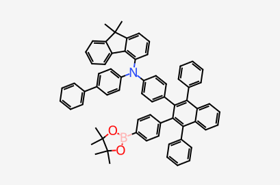 CC1(C)c2ccccc2-c2c(N(c3ccc(-c4ccccc4)cc3)c3ccc(-c4c(-c5ccc(B6OC(C)(C)C(C)(C)O6)cc5)c(-c5ccccc5)c5ccccc5c4-c4ccccc4)cc3)cccc21